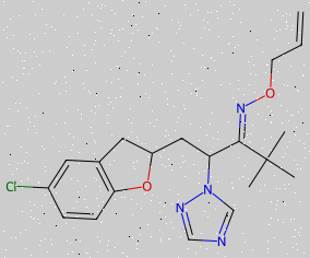 C=CCON=C(C(CC1Cc2cc(Cl)ccc2O1)n1cncn1)C(C)(C)C